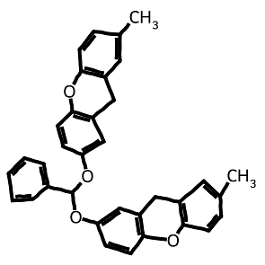 Cc1ccc2c(c1)Cc1cc(OC(Oc3ccc4c(c3)Cc3cc(C)ccc3O4)c3ccccc3)ccc1O2